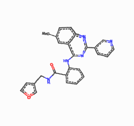 COc1ccc2nc(-c3cccnc3)nc(Nc3ccccc3C(=O)NCc3ccoc3)c2c1